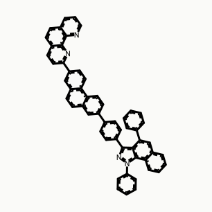 c1ccc(-c2cc3ccccc3c3c2c(-c2ccc(-c4ccc5c(ccc6cc(-c7ccc8ccc9cccnc9c8n7)ccc65)c4)cc2)nn3-c2ccccc2)cc1